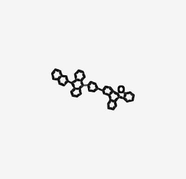 c1ccc2cc(-c3c4ccccc4c(-c4ccc(-c5ccc6c(c5)c5ccccc5c5c7ccccc7oc65)cc4)c4ccccc34)ccc2c1